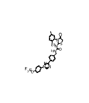 CCc1ccc(C)cc1N1C(=O)CSC1=NC(=O)NCc1ccc(-c2ncn(-c3ccc(OC(F)(F)F)cc3)n2)cc1